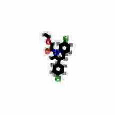 CCOCC(=O)NC(C)C(Cc1ccc(Cl)cc1)c1ccc(Cl)cc1